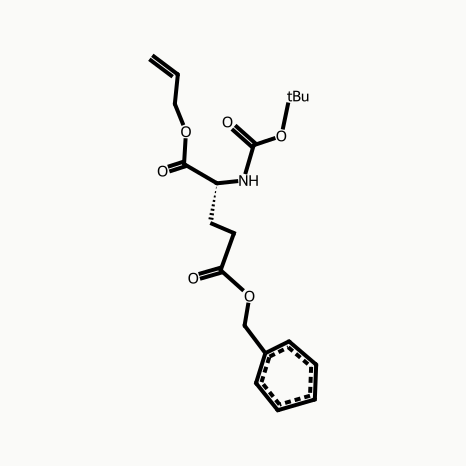 C=CCOC(=O)[C@@H](CCC(=O)OCc1ccccc1)NC(=O)OC(C)(C)C